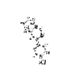 Clc1ccc(-c2cc3c(cn2)C2CCC3CC2)cc1